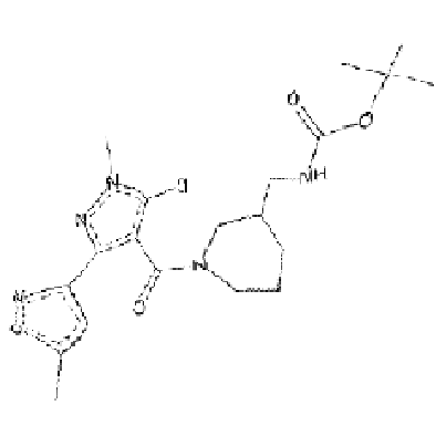 Cc1cc(-c2nn(C)c(Cl)c2C(=O)N2CCCC(CNC(=O)OC(C)(C)C)C2)no1